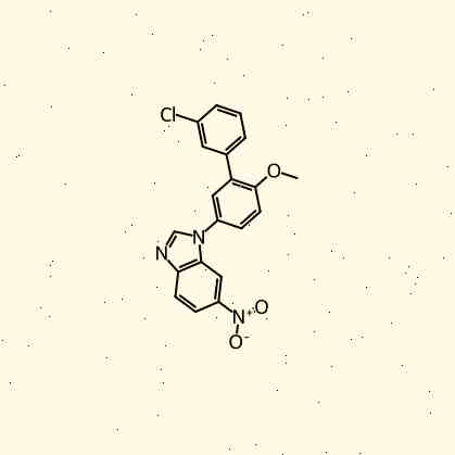 COc1ccc(-n2cnc3ccc([N+](=O)[O-])cc32)cc1-c1cccc(Cl)c1